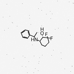 CC(N[C@@H]1CCCC(F)(F)[C@H]1O)c1ccccc1